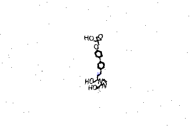 C[C@H](O)c1nccn1C(/C=C/c1ccc(-c2ccc(OCC3(CO)COC3)cc2)cc1)CO